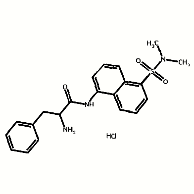 CN(C)S(=O)(=O)c1cccc2c(NC(=O)C(N)Cc3ccccc3)cccc12.Cl